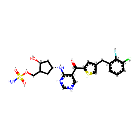 NS(=O)(=O)OCC1C[C@@H](Nc2ncncc2C(=O)c2cc(Cc3cccc(Cl)c3F)cs2)C[C@@H]1O